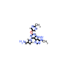 CNc1ncnc2c1[nH]c1nc(Oc3cnc(C)nc3)nc(N3CCC(CN)C3)c12